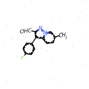 Cc1ccc2c(-c3ccc(F)cc3)c(C=O)nn2c1